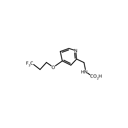 O=C(O)NCc1cc(OCCC(F)(F)F)ccn1